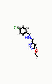 CCOc1cc(CNCc2ccc(Cl)cc2)n[nH]1